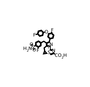 NS(=O)(=O)c1ccc(Cc2c(-c3ccc(F)c(Oc4ccc(F)cc4)c3)nn(-c3nc(C(=O)O)cs3)c2CC2CC2)cc1F